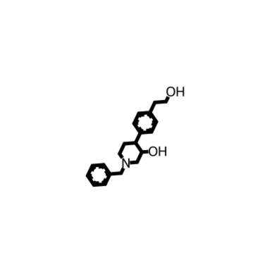 OCCc1ccc(C2CCN(Cc3ccccc3)CC2O)cc1